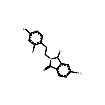 Nc1ccc2c(c1)C(O)N(CCc1ccc(Cl)cc1Cl)C2=O